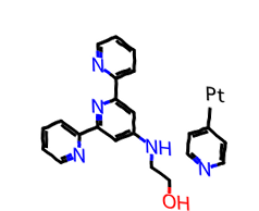 Cc1ccncc1.OCCNc1cc(-c2ccccn2)nc(-c2ccccn2)c1.[Pt]